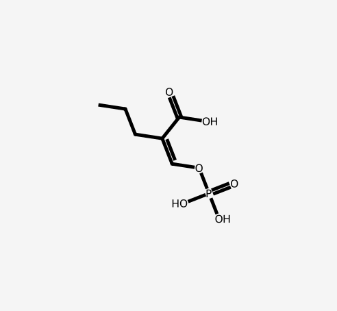 CCCC(=COP(=O)(O)O)C(=O)O